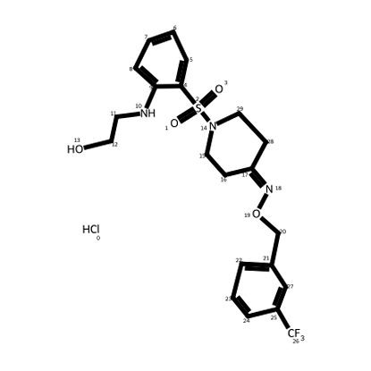 Cl.O=S(=O)(c1ccccc1NCCO)N1CCC(=NOCc2cccc(C(F)(F)F)c2)CC1